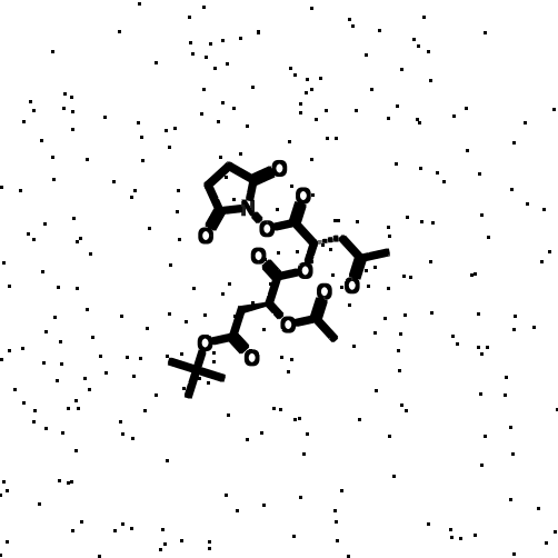 CC(=O)C[C@H](OC(=O)[C@H](CC(=O)OC(C)(C)C)OC(C)=O)C(=O)ON1C(=O)CCC1=O